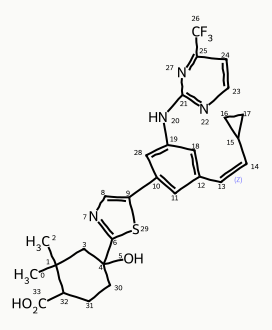 CC1(C)CC(O)(c2ncc(-c3cc(/C=C\C4CC4)cc(Nc4nccc(C(F)(F)F)n4)c3)s2)CCC1C(=O)O